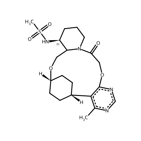 Cc1ncnc2c1[C@H]1CC[C@H](CC1)OCC1[C@@H](NS(C)(=O)=O)CCCN1C(=O)CO2